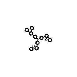 c1ccc(-c2ccc(-c3ccc(N(c4ccc(-c5cccc6c5oc5ccccc56)cc4)c4ccc(-c5cccc6c5oc5ccccc56)cc4)cc3)cc2-c2ccccc2)cc1